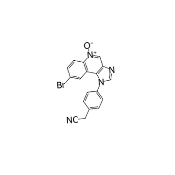 N#CCc1ccc(-n2cnc3c[n+]([O-])c4ccc(Br)cc4c32)cc1